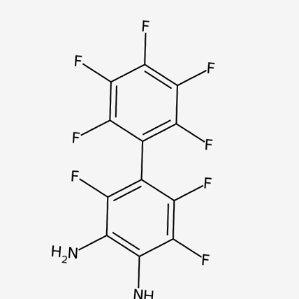 Nc1c(N)c(F)c(-c2c(F)c(F)c(F)c(F)c2F)c(F)c1F